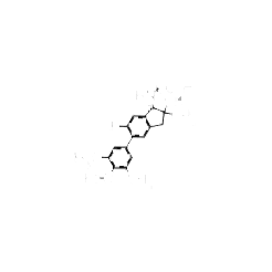 CCOc1c(C)cc(-c2cc3c(cc2F)[C@H](NC(=O)O)C(C)(C)C3)cc1C